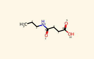 CC[CH]NC(=O)CCC(=O)O